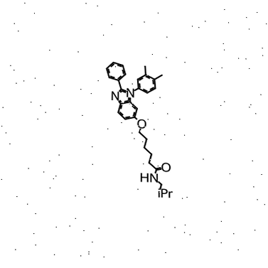 Cc1ccc(-n2c(-c3ccccc3)nc3ccc(OCCCCCC(=O)NCC(C)C)cc32)cc1C